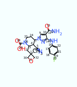 CC1(CC2C(C#N)C(n3cc(C(N)=O)c(Nc4ccc(F)cc4)n3)CCN2C(=O)O)COC1